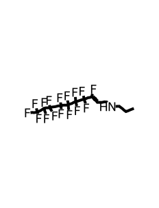 CCCNCC=C(F)C(F)(F)C(F)(F)C(F)(F)C(F)(F)C(F)(F)C(F)(F)C(F)(F)F